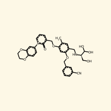 Cc1cc(CN[C@H](CO)C(O)O)c(OCc2cccc(C#N)c2)cc1OCc1cccn(-c2ccc3c(c2)OCCO3)c1=O